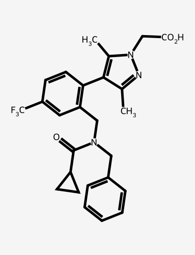 Cc1nn(CC(=O)O)c(C)c1-c1ccc(C(F)(F)F)cc1CN(Cc1ccccc1)C(=O)C1CC1